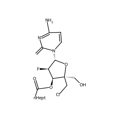 C=C1N=C(N)C=CN1[C@@H]1O[C@@](CO)(CCl)[C@@H](OC(=O)CCCCCCC)[C@H]1F